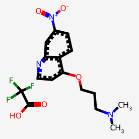 CN(C)CCCOc1ccnc2cc([N+](=O)[O-])ccc12.O=C(O)C(F)(F)F